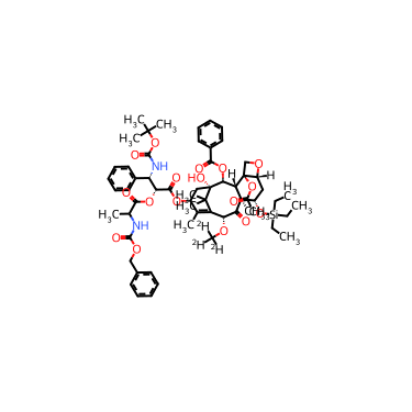 [2H]C([2H])([2H])O[C@H]1C(=O)[C@]2(C)[C@@H](O[Si](CC)(CC)CC)C[C@H]3OC[C@@]3(OC(C)=O)[C@H]2[C@H](OC(=O)c2ccccc2)[C@]2(O)C[C@H](OC(=O)[C@H](OC(=O)C(C)NC(=O)OCc3ccccc3)[C@@H](NC(=O)OC(C)(C)C)c3ccccc3)C(C)=C1C2(C)C